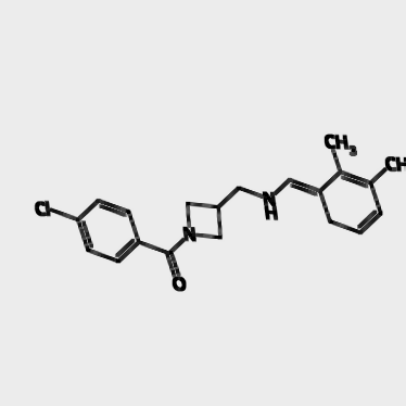 CC1=C(C=O)C=CC/C1=C\NCC1CN(C(=O)c2ccc(Cl)cc2)C1